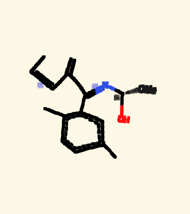 C=C(/C=C\C)/C(=N/[C@@H](O)OC)c1cc(C)ccc1C